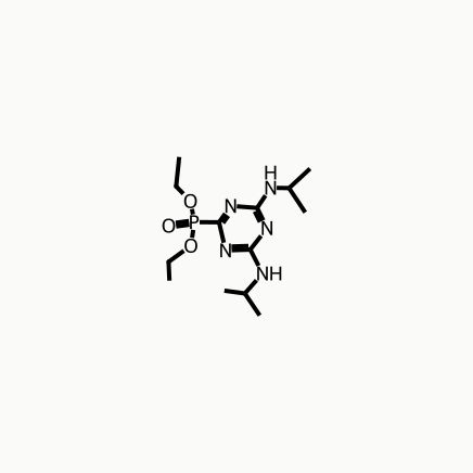 CCOP(=O)(OCC)c1nc(NC(C)C)nc(NC(C)C)n1